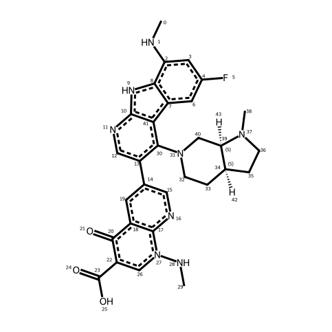 CNc1cc(F)cc2c1[nH]c1ncc(-c3cnc4c(c3)c(=O)c(C(=O)O)cn4NC)c(N3CC[C@@H]4CCN(C)[C@@H]4C3)c12